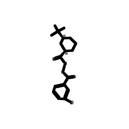 CC(C)(C)[C@H]1CCC[C@@H](C(=O)OOC(=O)c2cccc(Cl)c2)C1